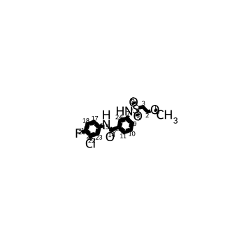 COCCS(=O)(=O)Nc1cccc(C(=O)Nc2ccc(F)c(Cl)c2)c1